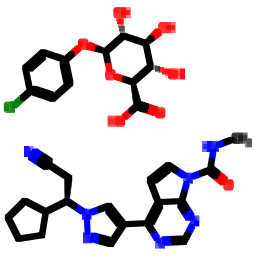 CNC(=O)n1ccc2c(-c3cnn([C@H](CC#N)C4CCCC4)c3)ncnc21.O=C(O)[C@H]1O[C@@H](Oc2ccc(Cl)cc2)[C@H](O)[C@@H](O)[C@@H]1O